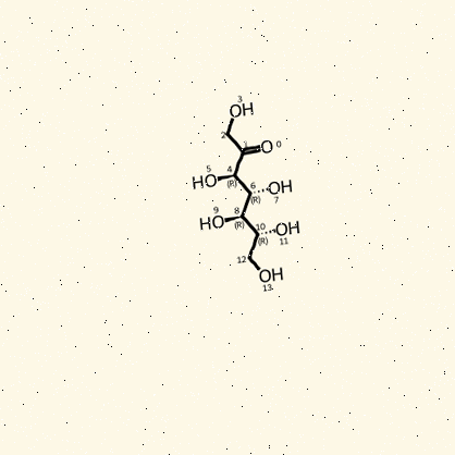 O=C(CO)[C@H](O)[C@H](O)[C@H](O)[C@H](O)CO